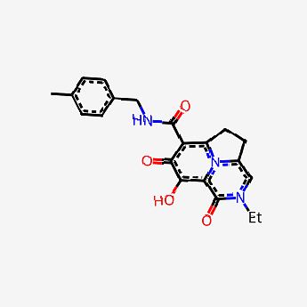 CCn1cc2n3c(c(C(=O)NCc4ccc(C)cc4)c(=O)c(O)c3c1=O)CC2